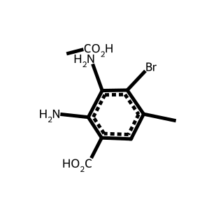 CC(=O)O.Cc1cc(C(=O)O)c(N)c(N)c1Br